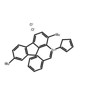 CC(C)(C)c1ccc2c(c1)Cc1c-2ccc(C(C)(C)C)[c]1/[Zr+2](=[CH]\c1ccccc1)[C]1=CC=CC1.[Cl-].[Cl-]